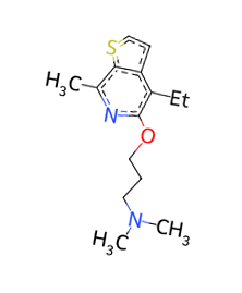 CCc1c(OCCCN(C)C)nc(C)c2sccc12